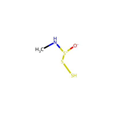 CN[S+]([O-])SS